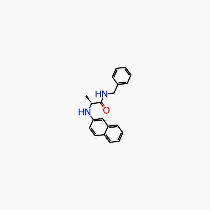 C[C@H](Nc1ccc2ccccc2c1)C(=O)NCc1ccccc1